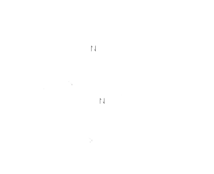 Cc1ccc2c(c1)c1c(n2-c2cscc2-c2ccc(C)s2)CCN(C)C1